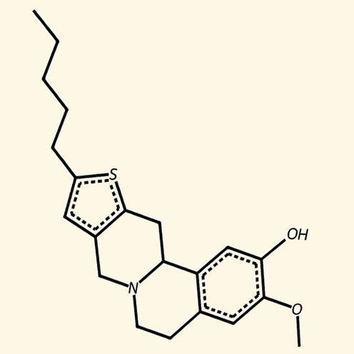 CCCCCc1cc2c(s1)CC1c3cc(O)c(OC)cc3CCN1C2